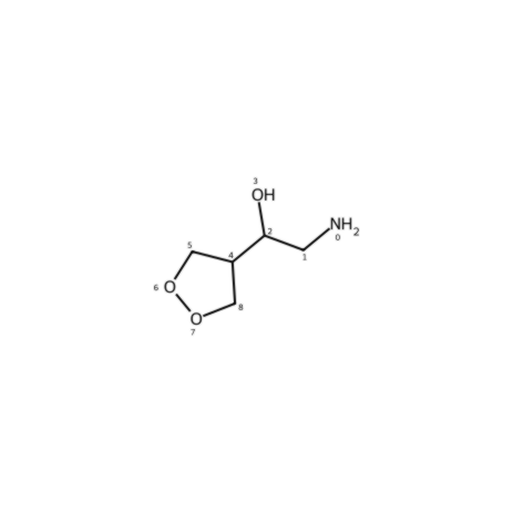 NCC(O)C1COOC1